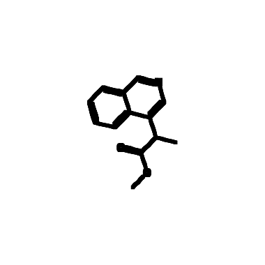 COC(=O)C(C)c1cncc2ccccc12